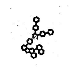 C1=CC2C=CC=C(c3cc4c(c5ccccc35)Cc3cccc(C5=CCC(C6CC(c7ccc(-c8ccccc8)cc7)C(c7ccc(-c8ccccc8)cc7)=N6)C=C5)c3-4)C2C=C1